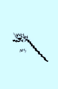 CCCCCCCCCCCCCCCCCC(=O)ON(CCCCCC)C(=N)NC(=N)N.N